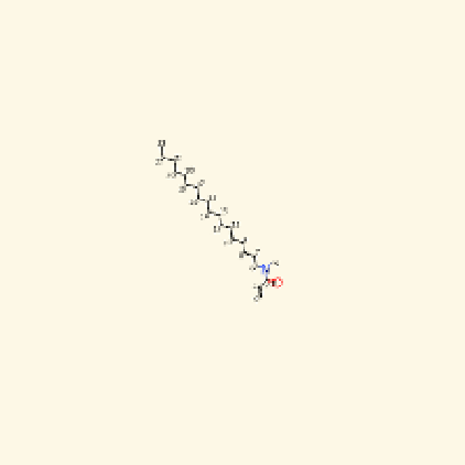 C=CC(=O)N(C)CCCCCCCCCCCCCCCCCC